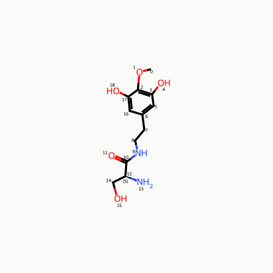 COc1c(O)cc(CCNC(=O)[C@@H](N)CO)cc1O